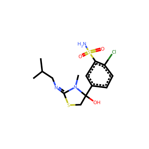 CC(C)CN=C1SCC(O)(c2ccc(Cl)c(S(N)(=O)=O)c2)N1C